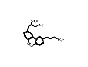 O=S(=O)(O)CCCc1ccc(O)c(-c2cc(CC(CS(=O)(=O)O)S(=O)(=O)O)ccc2O)c1